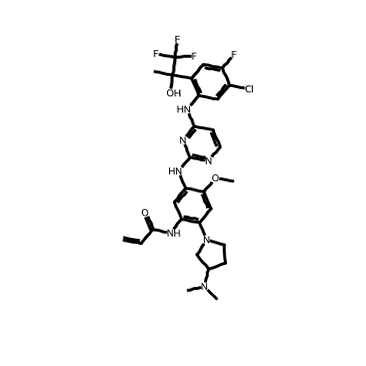 C=CC(=O)Nc1cc(Nc2nccc(Nc3cc(Cl)c(F)cc3C(C)(O)C(F)(F)F)n2)c(OC)cc1N1CCC(N(C)C)C1